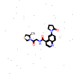 N#C[C@@H]1CSCN1C(=O)CNC(=O)c1ccnc2ccc(N3CCCC3=O)cc12